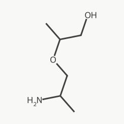 CC(N)COC(C)CO